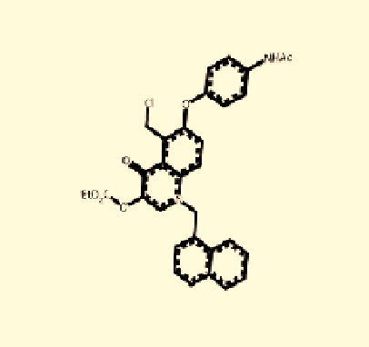 CCOC(=O)Oc1cn(Cc2cccc3ccccc23)c2ccc(Oc3ccc(NC(C)=O)cc3)c(CCl)c2c1=O